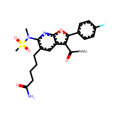 CNC(=O)c1c(-c2ccc(F)cc2)oc2nc(N(C)S(C)(=O)=O)c(CCCCC(N)=O)cc12